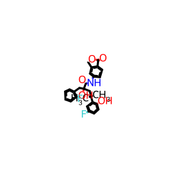 CC(C)(CC(O)(Cc1ccccc1F)C(=O)Nc1ccc2c(c1)COC2=O)c1cc(F)ccc1O